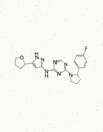 Fc1ccc(C2CCCN2c2ncnc(Nc3cc(C4CCCO4)[nH]n3)n2)cc1